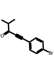 CC(C)C(=O)C#Cc1ccc(Br)cc1